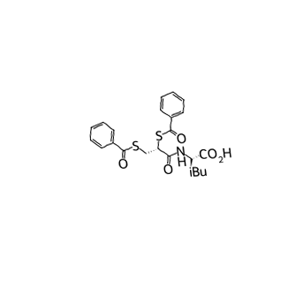 CC[C@H](C)[C@H](NC(=O)[C@H](CSC(=O)c1ccccc1)SC(=O)c1ccccc1)C(=O)O